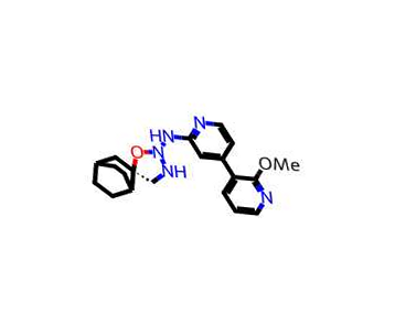 COc1ncccc1-c1ccnc(NN2NC[C@]3(CC4CCC3CC4)O2)c1